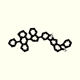 c1ccc(-c2c3ccccc3c(-c3ccc(-c4ccc5sc6cc7c(ccc8sc9ccccc9c87)cc6c5c4)c4ccccc34)c3ccccc23)cc1